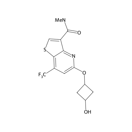 CNC(=O)c1csc2c(C(F)(F)F)cc(OC3CC(O)C3)nc12